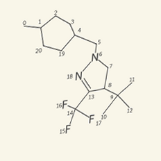 CC1CCC(CN2CC(C(C)(C)C)C(C(F)(F)F)=N2)CC1